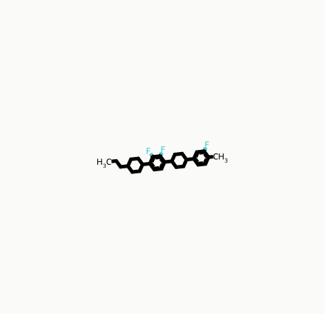 CCCC1CCC(c2ccc(C3CCC(c4ccc(C)c(F)c4)CC3)c(F)c2F)CC1